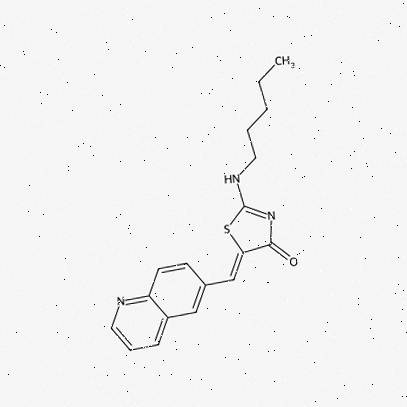 CCCCCNC1=NC(=O)/C(=C/c2ccc3ncccc3c2)S1